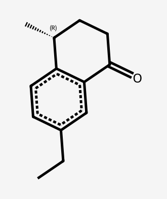 CCc1ccc2c(c1)C(=O)CC[C@H]2C